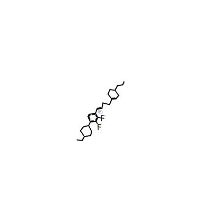 CCCC1CC=C(CC/C=C/c2ccc(C3CCC(CC)CC3)c(F)c2F)CC1